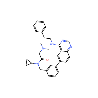 CN(C)CC(=O)N(Cc1cccc(-c2ccc3ncnc(NCCc4ccccc4)c3c2)c1)C1CC1